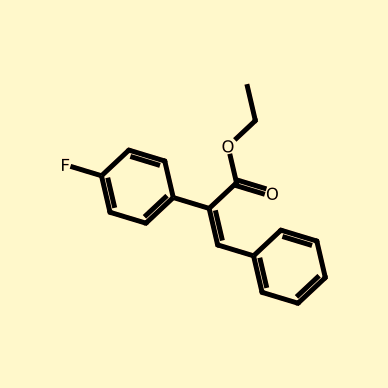 CCOC(=O)C(=Cc1ccccc1)c1ccc(F)cc1